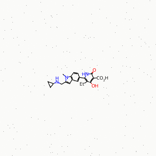 CCc1c(-c2ccc3c(c2)cc(CNC2CC2)n3C)[nH]c(=O)c(C(=O)O)c1O